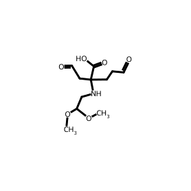 COC(CNC(CC=O)(CCC=O)C(=O)O)OC